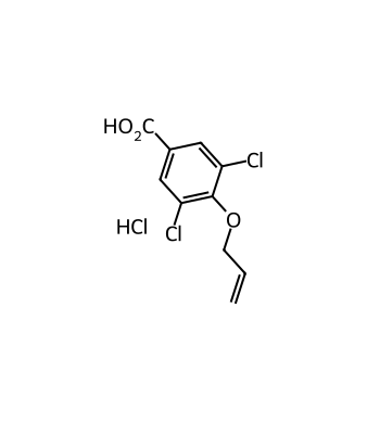 C=CCOc1c(Cl)cc(C(=O)O)cc1Cl.Cl